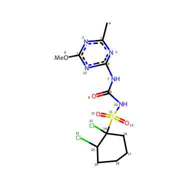 COc1nc(C)nc(NC(=O)NS(=O)(=O)C2(Cl)CCCCC2Cl)n1